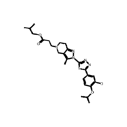 Cc1c2c(nn1-c1nnc(-c3ccc(OC(C)C)c(Cl)c3)s1)CCN(CCC(=O)OCC(C)C)C2